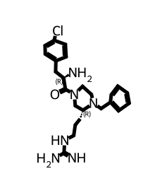 N=C(N)NCCC[C@@H]1CN(C(=O)[C@H](N)Cc2ccc(Cl)cc2)CCN1Cc1ccccc1